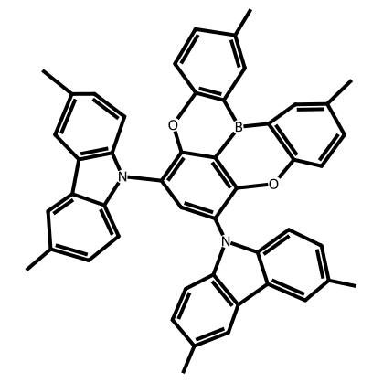 Cc1ccc2c(c1)B1c3cc(C)ccc3Oc3c(-n4c5ccc(C)cc5c5cc(C)ccc54)cc(-n4c5ccc(C)cc5c5cc(C)ccc54)c(c31)O2